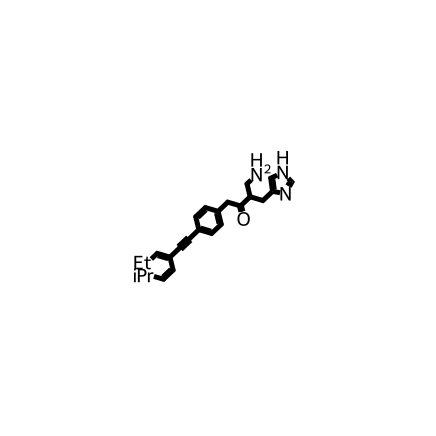 CC/C=C(C#Cc1ccc(CC(=O)C(CN)Cc2c[nH]cn2)cc1)\C=C/C(C)C